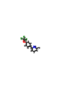 Cc1cccc(-c2ccc(OC(F)(F)F)cc2)n1